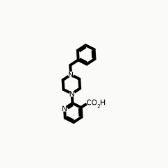 O=C(O)c1cccnc1N1CCN(Cc2ccccc2)CC1